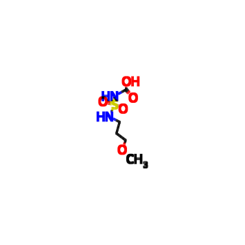 COCCCNS(=O)(=O)NC(=O)O